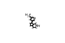 C=Cc1cncc(C2=CCC3CCNCC23)c1